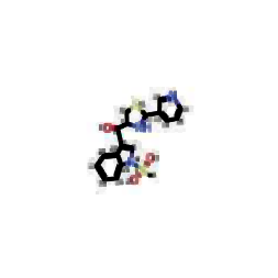 CS(=O)(=O)n1cc(C(=O)C2CSC(c3cccnc3)N2)c2ccccc21